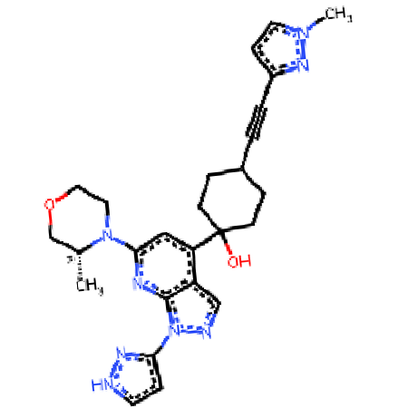 C[C@@H]1COCCN1c1cc(C2(O)CCC(C#Cc3ccn(C)n3)CC2)c2cnn(-c3cc[nH]n3)c2n1